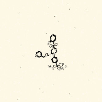 C[C@@](O)(c1ccc(N2CCN(S(=O)(=O)C3=CC=CCC3=S)C[C@H]2COCc2cccnc2)cc1)C(F)(F)F